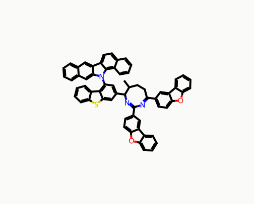 CC1CC/C(c2ccc3oc4ccccc4c3c2)=N\C(c2ccc3oc4ccccc4c3c2)=N/C1c1cc(-n2c3cc4ccccc4cc3c3ccc4ccccc4c32)c2c(c1)sc1ccccc12